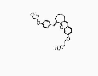 CCCOc1ccc(C=C2CCCCC(=Cc3ccc(OCCC)cc3)C2=O)cc1